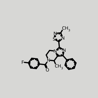 Cc1nsc(-c2nc(-c3ccccc3)c3n2CCN(C(=O)c2ccc(F)cc2)C3C)n1